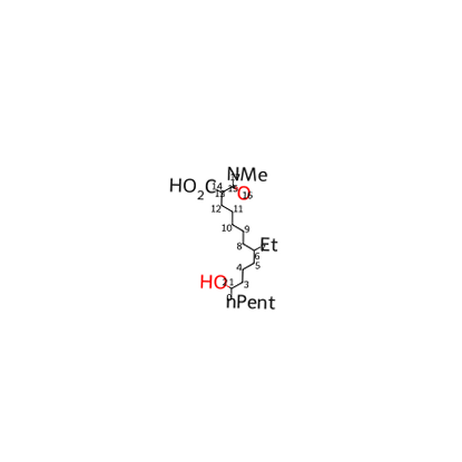 CCCCCC(O)CCCC(CC)CCCCCC(C(=O)O)C(=O)NC